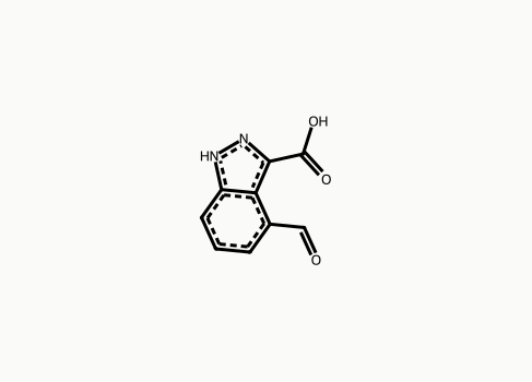 O=Cc1cccc2[nH]nc(C(=O)O)c12